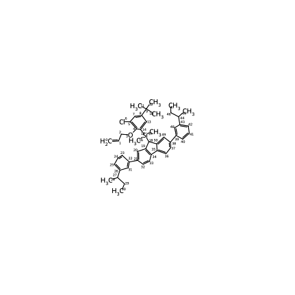 C=CCOc1c(Cl)cc(C(C)(C)C)cc1[Si](C)(C)C1c2cc(-c3cccc(C(C)CC)c3)ccc2-c2ccc(-c3cccc(C(C)CC)c3)cc21